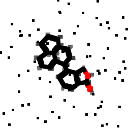 O=C1OCc2c1cccc2C1C=Cc2cccc3cccc1c23